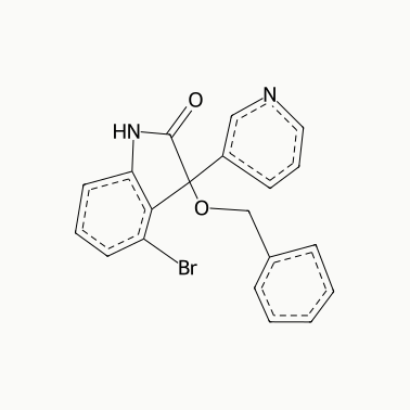 O=C1Nc2cccc(Br)c2C1(OCc1ccccc1)c1cccnc1